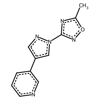 Cc1nc(-n2cc(-c3cccnc3)cn2)no1